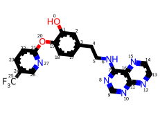 Oc1cc(CCNc2ncnc3nccnc23)ccc1Oc1ccc(C(F)(F)F)cn1